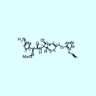 C#CCn1nnnc1SCC1=CN2C(=O)C(NC(=O)C(=NOC)c3csc(N)n3)[C@@H]2SC1